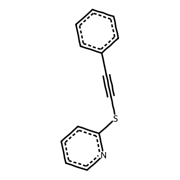 C(#Cc1ccccc1)Sc1ccccn1